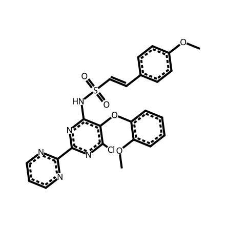 COc1ccc(C=CS(=O)(=O)Nc2nc(-c3ncccn3)nc(Cl)c2Oc2ccccc2OC)cc1